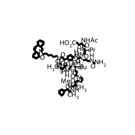 CC[C@H](C)[C@@H](CCC(=O)N1CCC[C@H]1[C@H](OC)[C@@H](C)C(=O)N[C@H](C)[C@@H](O)c1ccccc1)N(C)C(=O)[C@@H](NC(=O)[C@H](C(C)C)N(C)C(=O)OC(C(=O)NCCCCCC(=O)N1Cc2ccccc2C#Cc2ccccc21)c1ccc(NC(=O)[C@H](CCCNC(N)=O)NC(=O)[C@@H](NC(=O)[C@H](CCC(=O)O)NC(C)=O)C(C)C)cc1)C(C)C